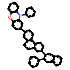 c1ccc(-c2cc3ccccc3cc2-c2ccc3c(ccc4cc(-c5ccc6c(c5)N(c5ccccc5)c5ccccc5O6)ccc43)c2)cc1